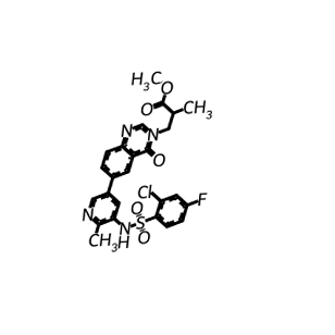 COC(=O)C(C)Cn1cnc2ccc(-c3cnc(C)c(NS(=O)(=O)c4ccc(F)cc4Cl)c3)cc2c1=O